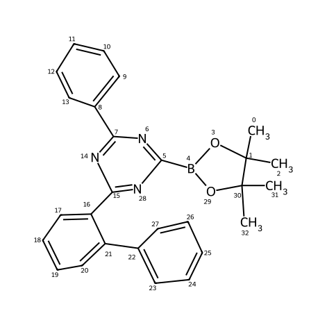 CC1(C)OB(c2nc(-c3ccccc3)nc(-c3ccccc3-c3ccccc3)n2)OC1(C)C